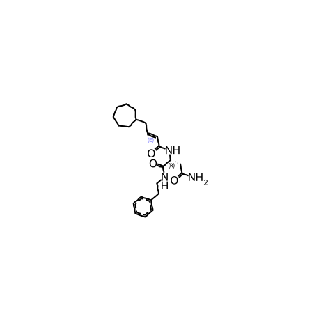 NC(=O)C[C@@H](NC(=O)/C=C/CC1CCCCCC1)C(=O)NCCc1ccccc1